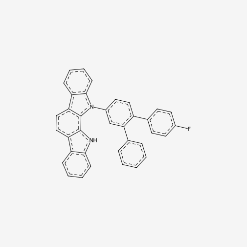 Fc1ccc(-c2ccc(-n3c4ccccc4c4ccc5c6ccccc6[nH]c5c43)cc2-c2ccccc2)cc1